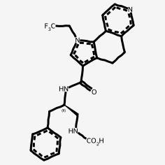 O=C(O)NC[C@@H](Cc1ccccc1)NC(=O)c1cn(CC(F)(F)F)c2c1CCc1cnccc1-2